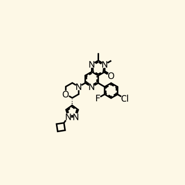 Cc1nc2cc(N3CCO[C@@H](c4cnn(C5CCC5)c4)C3)nc(-c3ccc(Cl)cc3F)c2c(=O)n1C